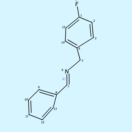 Fc1ccc(C/N=C/c2ccccc2)cc1